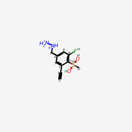 C#Cc1cc(CNN)cc(F)c1S(C)(=O)=O